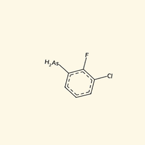 Fc1c(Cl)cccc1[AsH2]